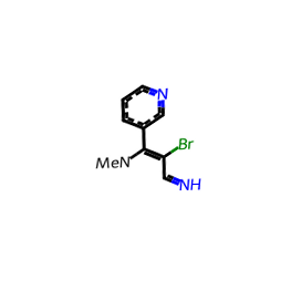 CN/C(=C(/Br)C=N)c1cccnc1